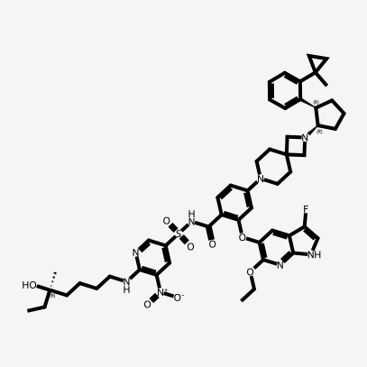 CCOc1nc2[nH]cc(F)c2cc1Oc1cc(N2CCC3(CC2)CN([C@@H]2CCC[C@@H]2c2ccccc2C2(C)CC2)C3)ccc1C(=O)NS(=O)(=O)c1cnc(NCCCC[C@](C)(O)CC)c([N+](=O)[O-])c1